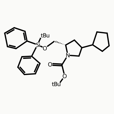 CC(C)(C)OC(=O)N1CC(C2CCCC2)C[C@H]1CO[Si](c1ccccc1)(c1ccccc1)C(C)(C)C